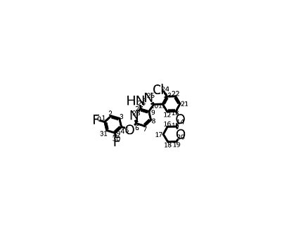 Fc1ccc(Oc2ccc3c(-c4cc(OC5CCCCO5)ccc4Cl)n[nH]c3n2)c(F)c1